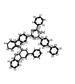 C1=C(c2ccccc2)CC(n2c3c(c4ccc(C5=NC(c6ccc(-c7ccccc7)cc6)NC(c6ccccc6)=N5)cc42)=CCCC=3)C2Sc3ccccc3C12